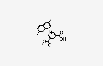 COC(=O)C1=CN(c2cc(C)cc3ccc(C)cc23)C=C(C(=O)O)C1